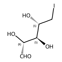 O=C[C@H](O)[C@H](O)[C@H](O)CI